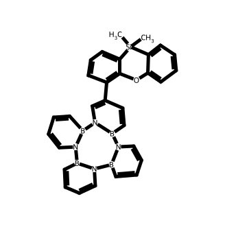 C[Si]1(C)c2ccccc2Oc2c(C3=CN4B5C=CC=CN5B5C=CC=CN5B5C=CC=CN5B4C=C3)cccc21